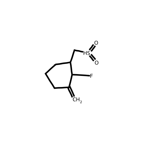 C=C1CC[CH]C(C[SH](=O)=O)C1F